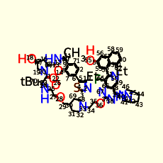 CCc1ncsc1-c1ccc([C@H](C)NC(=O)[C@@H]2C[C@@H](O)CN2C(=O)[C@@H](NC(=O)COCC2CCN(CCOc3nc(N4CC5CCC(C4)N5)c4cnc(-c5cc(O)cc6cccc(CC)c56)c(F)c4n3)CC2)C(C)(C)C)cc1